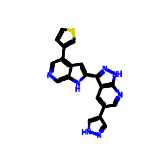 c1cc(-c2cncc3[nH]c(-c4n[nH]c5ncc(-c6cn[nH]c6)cc45)cc23)cs1